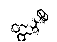 O=C(NC12CC3CC(CC(C3)C1)C2)c1cnn(CCc2ccccc2)c1OCCN1CCOCC1